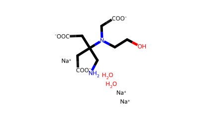 NCC(CC(=O)[O-])(CC(=O)[O-])N(CCO)CC(=O)[O-].O.O.[Na+].[Na+].[Na+]